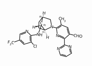 Cc1cc(C=O)c(-c2ncccn2)nc1N1C[C@@H]2CC[C@H]1[C@H](Nc1ncc(C(F)(F)F)cc1Cl)C2